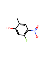 Cc1cc([N+](=O)[O-])c(F)cc1O